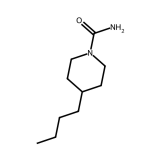 CCCCC1CCN(C(N)=O)CC1